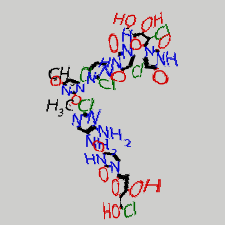 COc1cc(Cl)nc(OC)n1.Clc1ncccn1.Nc1cnc(Cl)nc1N.O=c1[nH]cc(Cl)c(=O)[nH]1.O=c1ccn([C@@H]2O[C@H](CO)[C@@H](O)[C@H]2Cl)c(=O)[nH]1.O=c1ccn([C@H]2C[C@H](O)[C@@H](C(O)Cl)O2)c(=O)[nH]1